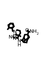 Cc1ccccc1CN1CCCC(C)(/C(=N\C#N)NC2C3CC4CC2CC(C(N)=O)(C4)C3)C1=O